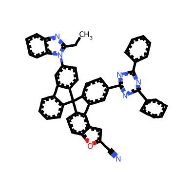 CCc1nc2ccccc2n1-c1ccc2c(c1)-c1ccccc1C21c2ccc(-c3nc(-c4ccccc4)nc(-c4ccccc4)n3)cc2-c2c1ccc1oc(C#N)cc21